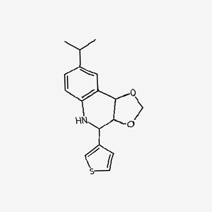 CC(C)c1ccc2c(c1)C1OCOC1C(c1ccsc1)N2